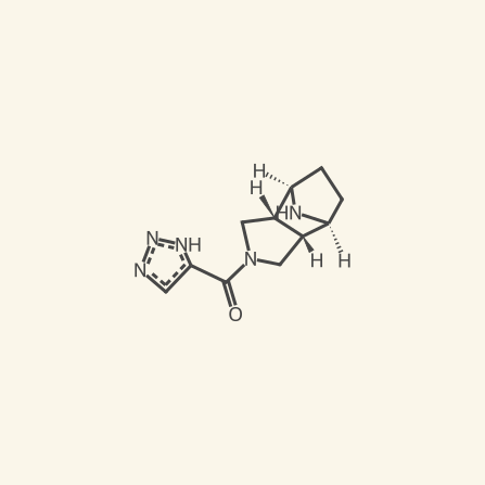 O=C(c1cnn[nH]1)N1C[C@@H]2[C@H](C1)[C@H]1CC[C@@H]2N1